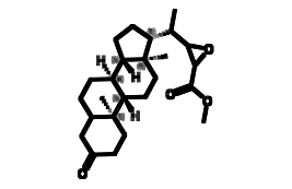 COC(=O)C1OC1C(C)[C@H]1CC[C@H]2[C@@H]3CCC4CC(=O)CC[C@]4(C)[C@H]3CC[C@]12C